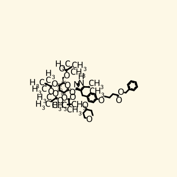 CC(C)c1[nH]nc(O[C@@H]2O[C@H](COC(=O)C(C)(C)C)[C@@H](OC(=O)C(C)(C)C)[C@H](OC(=O)C(C)(C)C)[C@H]2OC(=O)C(C)(C)C)c1Cc1ccc(OCCCC(=O)OCc2ccccc2)cc1OC1CCOCC1